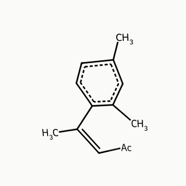 CC(=O)/C=C(/C)c1ccc(C)cc1C